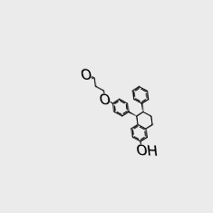 O=CCCOc1ccc([C@@H]2c3ccc(O)cc3CC[C@@H]2c2ccccc2)cc1